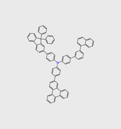 c1ccc(C2(c3ccccc3)c3ccccc3-c3ccc(-c4ccc(N(c5ccc(-c6cccc(-c7cccc8ccccc78)c6)cc5)c5ccc(-c6ccc7c8ccccc8c8ccccc8c7c6)cc5)cc4)cc32)cc1